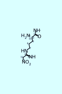 [NH]C(=O)[C@@H](N)CCCNC(=N)C[N+](=O)[O-]